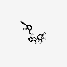 N#Cc1cccc(CNc2cccc3c2CN(C2(O)CCC(=O)NC2=O)C3=O)c1F